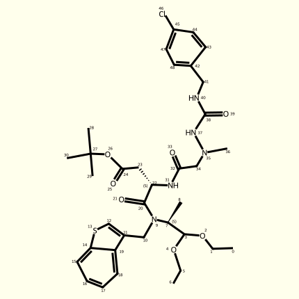 CCOC(OCC)[C@H](C)N(Cc1csc2ccccc12)C(=O)[C@H](CC(=O)OC(C)(C)C)NC(=O)CN(C)NC(=O)NCc1ccc(Cl)cc1